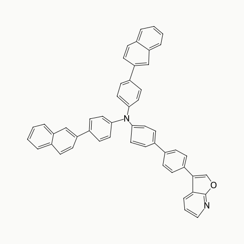 c1ccc2cc(-c3ccc(N(c4ccc(-c5ccc(-c6coc7ncccc67)cc5)cc4)c4ccc(-c5ccc6ccccc6c5)cc4)cc3)ccc2c1